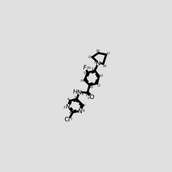 O=C(Nc1cnc(Cl)nc1)c1ccc(N2CCCC2)c(F)c1